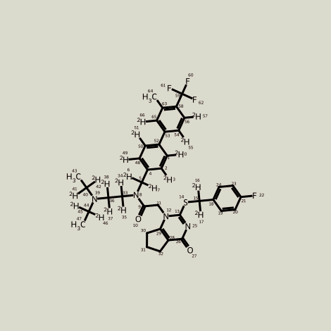 [2H]c1c([2H])c(C([2H])([2H])N(C(=O)Cn2c(SC([2H])([2H])c3ccc(F)cc3)nc(=O)c3c2CCC3)C([2H])([2H])C([2H])([2H])N(C([2H])([2H])C)C([2H])([2H])C)c([2H])c([2H])c1-c1c([2H])c([2H])c(C(F)(F)F)c(C)c1[2H]